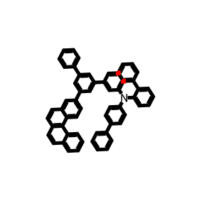 c1ccc(-c2ccc(N(c3cccc(-c4cc(-c5ccccc5)cc(-c5ccc6c(ccc7ccc8ccccc8c76)c5)c4)c3)c3ccccc3-c3ccccc3)cc2)cc1